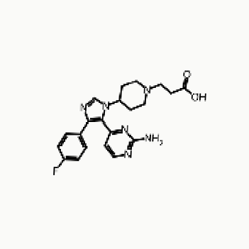 Nc1nccc(-c2c(-c3ccc(F)cc3)ncn2C2CCN(CCC(=O)O)CC2)n1